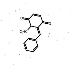 O=CC1C(=O)C=CC(=O)C1=Cc1ccccc1